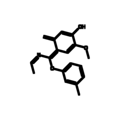 C=c1cc(O)c(OC)c/c1=C(/N=C\C)Oc1cccc(C)c1